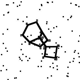 [CH]1CC(N2C3CCCC2CC3)C1